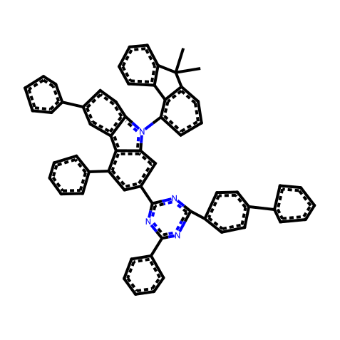 CC1(C)c2ccccc2-c2c(-n3c4ccc(-c5ccccc5)cc4c4c(-c5ccccc5)cc(-c5nc(-c6ccccc6)nc(-c6ccc(-c7ccccc7)cc6)n5)cc43)cccc21